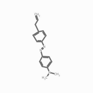 C=CCc1ccc(N=Nc2ccc(N(C)C)cc2)cc1